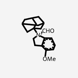 COc1cccc2c1CC[N+]2(C=O)C12CC3CC(CC(C3)C1)C2